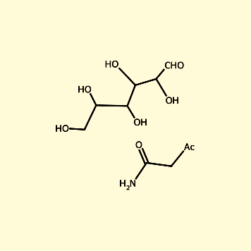 CC(=O)CC(N)=O.O=CC(O)C(O)C(O)C(O)CO